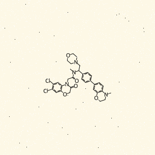 CN1CCOc2cc(-c3ccc(C(CN4CCOCC4)N(C)C(=O)CN4C(=O)COc5cc(Cl)c(Cl)cc54)cc3)ccc21